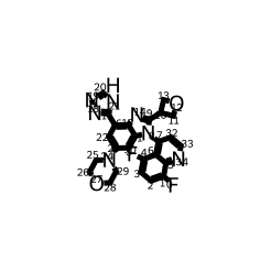 Fc1ccc(F)c2c(-n3c(C4COC4)nc4c(-c5nnc[nH]5)cc(N5CCOCC5)cc43)ccnc12